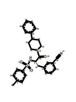 Cc1ccc(S(=O)(=O)N[C@@H](Cc2cccc(C#N)c2)C(=O)N2CCC(c3ccccc3)CC2)cc1